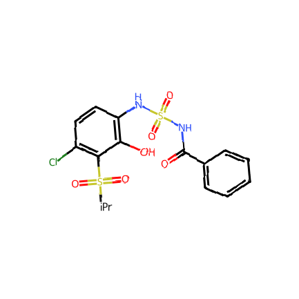 CC(C)S(=O)(=O)c1c(Cl)ccc(NS(=O)(=O)NC(=O)c2ccccc2)c1O